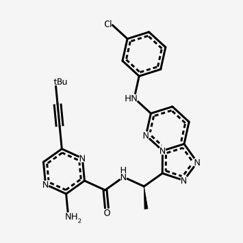 C[C@@H](NC(=O)c1nc(C#CC(C)(C)C)cnc1N)c1nnc2ccc(Nc3cccc(Cl)c3)nn12